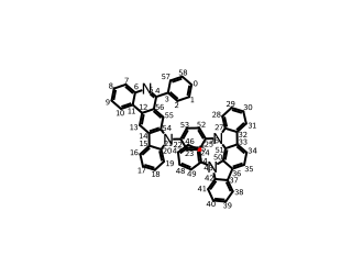 c1ccc(-c2nc3ccccc3c3cc4c5ccccc5n(-c5ccc(-n6c7ccccc7c7ccc8c9ccccc9n(-c9ccccc9)c8c76)cc5)c4cc23)cc1